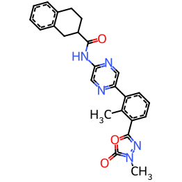 Cc1c(-c2cnc(NC(=O)C3CCc4ccccc4C3)cn2)cccc1-c1nn(C)c(=O)o1